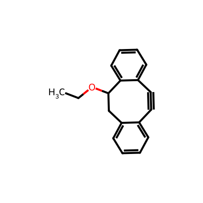 CCOC1Cc2ccccc2C#Cc2ccccc21